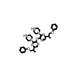 CC(COc1ccccc1)c1cnc(Oc2ncc(C(C)COc3ccccc3)nc2N2CCNCC2)c(N2CCNCC2)n1